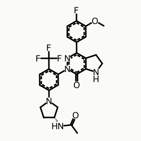 COc1cc(-c2nn(-c3cc(N4CC[C@@H](NC(C)=O)C4)ccc3C(F)(F)F)c(=O)c3c2CCN3)ccc1F